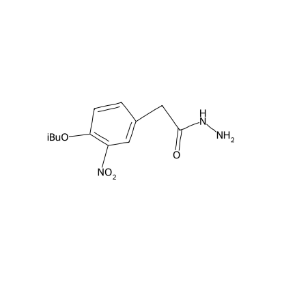 CC(C)COc1ccc(CC(=O)NN)cc1[N+](=O)[O-]